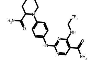 NC(=O)c1cnc(Nc2ccc(N3CCCCC3C(N)=O)cc2)nc1NCC(F)(F)F